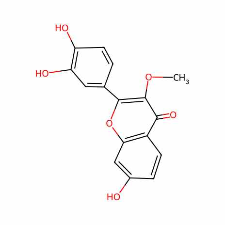 COc1c(-c2ccc(O)c(O)c2)oc2cc(O)ccc2c1=O